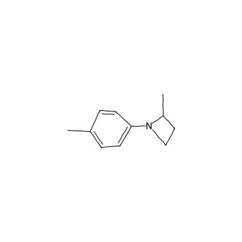 Cc1ccc(N2CCC2C)cc1